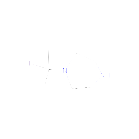 CC(C)(I)N1CCNCC1